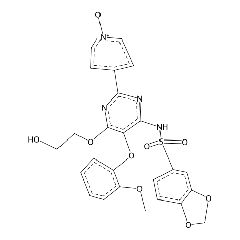 COc1ccccc1Oc1c(NS(=O)(=O)c2ccc3c(c2)OCO3)nc(-c2cc[n+]([O-])cc2)nc1OCCO